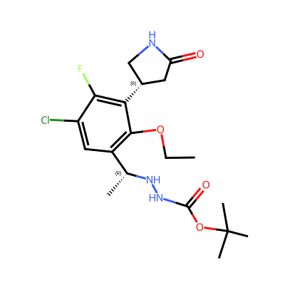 CCOc1c([C@@H](C)NNC(=O)OC(C)(C)C)cc(Cl)c(F)c1[C@@H]1CNC(=O)C1